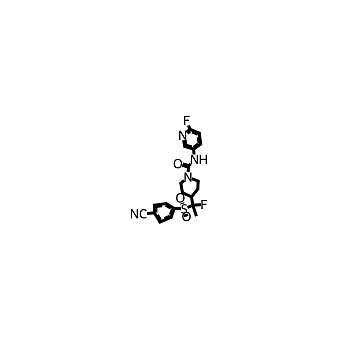 CC(F)(C1CCN(C(=O)Nc2ccc(F)nc2)CC1)S(=O)(=O)c1ccc(C#N)cc1